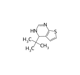 CC(C)(C)C1NC=Nc2sccc21